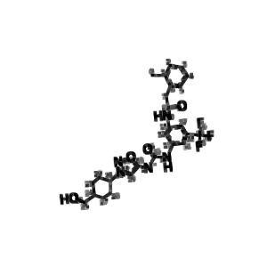 Cc1ccccc1CC(=O)Nc1cc(NC(=O)[N-]c2c[n+](C3CCC(CO)CC3)no2)cc(C(F)(F)F)c1